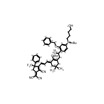 CCCCN(CCCCO)c1ccc(C(C)CC2=C(OC)/C(=C/C=C/C3=C(C#N)C(=C(C#N)C#N)CC3(c3ccccc3)C(F)(F)F)CC(C)(C)C2)c(OCc2ccccc2)c1